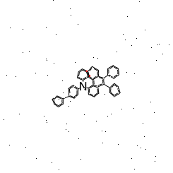 c1ccc(-c2ccc(N(c3ccccc3)c3cccc4c(-c5ccccc5)c(-c5ccccc5)c5ccccc5c34)cc2)cc1